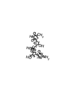 Cc1cn(C2CC(O)C(COP(=O)(O)OC3CC(n4cnc(N)nc4=O)SC3CO)O2)c(=O)[nH]c1=O